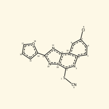 N#CSc1nc2ccc(Cl)cc2c2nc(-c3ccco3)nn12